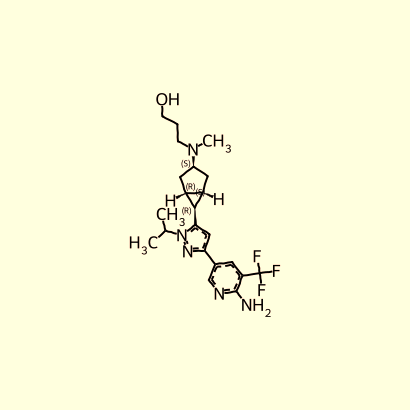 CC(C)n1nc(-c2cnc(N)c(C(F)(F)F)c2)cc1[C@H]1[C@@H]2C[C@@H](N(C)CCCO)C[C@@H]21